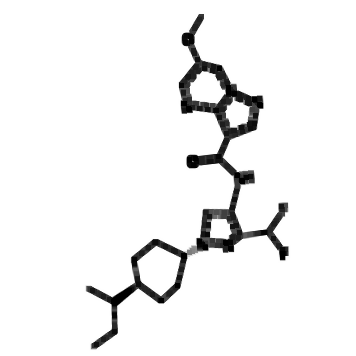 CCC(C)[C@H]1CC[C@H](n2cc(NC(=O)c3cnn4cc(OC)cnc34)c(C(F)F)n2)CC1